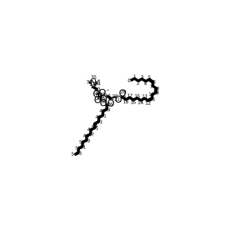 CCCCC/C=C\C/C=C\C/C=C\CCCCCCC(=O)OC[C@H](COP(=O)([O-])OCC[N+](C)(C)C)OC(=O)CCCCCCCCCCCCCCCC